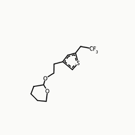 FC(F)(F)Cc1cc(CCOC2CCCCO2)cs1